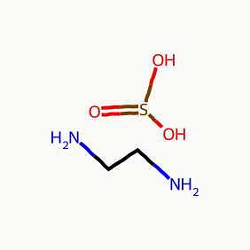 NCCN.O=S(O)O